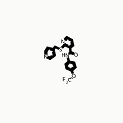 O=C(Nc1ccc(OC(F)(F)F)cc1)c1cccnc1SCc1ccncc1